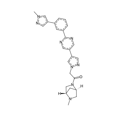 CN1C[C@H]2C[C@H]1CN2C(=O)Cn1cc(-c2cnc(-c3cccc(-c4cnn(C)c4)c3)nc2)cn1